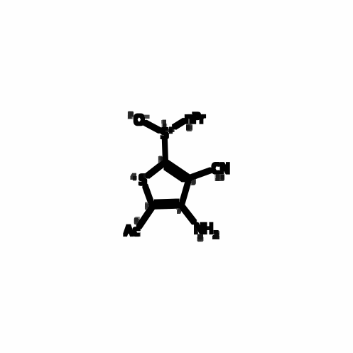 CCC[S+]([O-])c1sc(C(C)=O)c(N)c1C#N